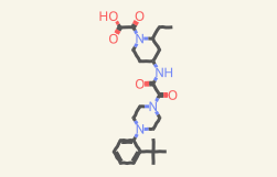 CCC1CC(NC(=O)C(=O)N2CCN(c3ccccc3C(C)(C)C)CC2)CCN1C(=O)C(=O)O